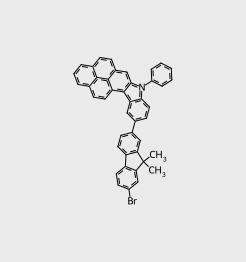 CC1(C)c2cc(Br)ccc2-c2ccc(-c3ccc4c(c3)c3c5ccc6cccc7ccc(cc3n4-c3ccccc3)c5c76)cc21